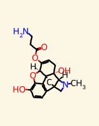 CN1CC23C[C@]45c6c2ccc(O)c6O[C@H]4C(OC(=O)CCN)=CC[C@@]5(O)[C@H]13